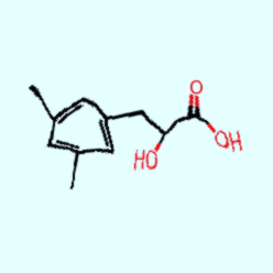 Cc1cc(C)cc(CC(O)C(=O)O)c1